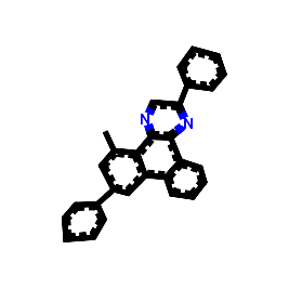 Cc1cc(-c2ccccc2)cc2c3ccccc3c3nc(-c4ccccc4)cnc3c12